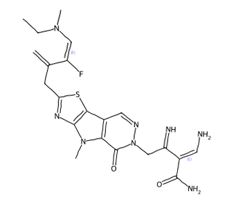 C=C(Cc1nc2c(s1)c1cnn(CC(=N)/C(=C\N)C(N)=O)c(=O)c1n2C)/C(F)=C\N(C)CC